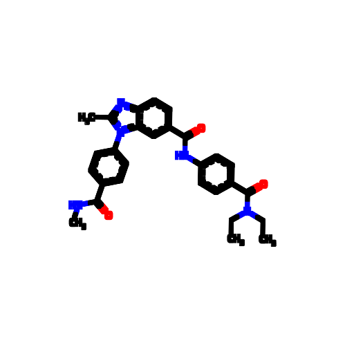 CCN(CC)C(=O)c1ccc(NC(=O)c2ccc3nc(C)n(-c4ccc(C(=O)NC)cc4)c3c2)cc1